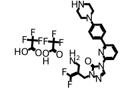 NCC(Cn1ncn(-c2cccc(-c3ccc(N4CCNCC4)cc3)n2)c1=O)=C(F)F.O=C(O)C(F)(F)F.O=C(O)C(F)(F)F